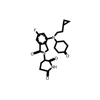 O=C1CCC(N(CCC2CC2)c2cc(F)cc3c2CN(C2CCC(=O)NC2=O)C3=O)CC1